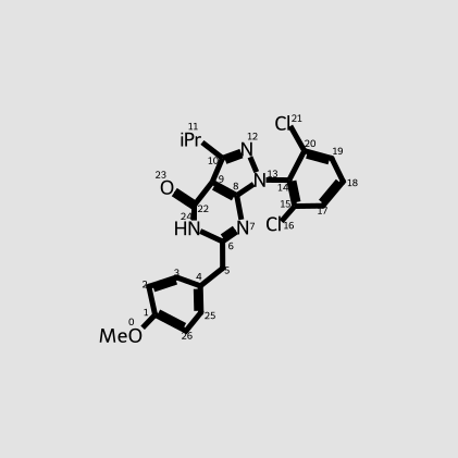 COc1ccc(Cc2nc3c(c(C(C)C)nn3-c3c(Cl)cccc3Cl)c(=O)[nH]2)cc1